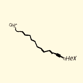 CCCCCCC#CCCCCCCCCCCCC=O